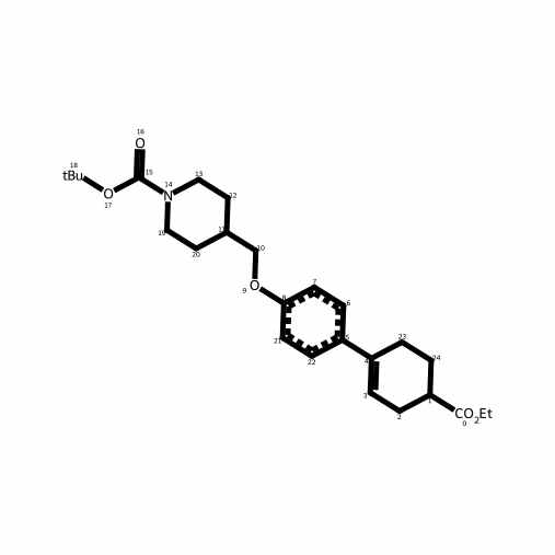 CCOC(=O)C1CC=C(c2ccc(OCC3CCN(C(=O)OC(C)(C)C)CC3)cc2)CC1